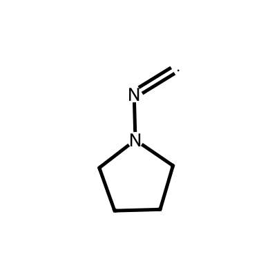 [CH]=NN1CCCC1